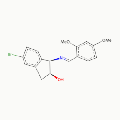 COc1ccc(/C=N/[C@@H]2c3ccc(Br)cc3C[C@@H]2O)c(OC)c1